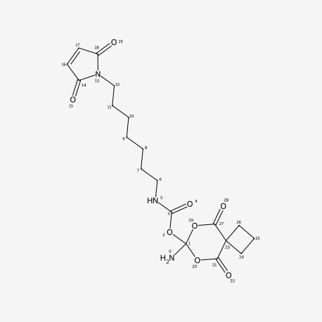 NC1(OC(=O)NCCCCCCCN2C(=O)C=CC2=O)OC(=O)C2(CCC2)C(=O)O1